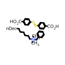 CCCCCCCCCCCCCCCC[N+](C)(C)Cc1ccccc1.O=C(O)c1ccc(SSc2ccc(C(=O)O)cc2)cc1